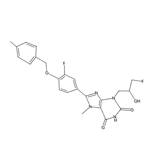 Cc1ccc(COc2ccc(-c3nc4c(c(=O)[nH]c(=O)n4CC(O)CF)n3C)cc2F)cc1